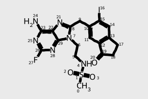 CS(=O)(=O)NCCn1c(Cc2cc3c(cc2I)CCC3=O)nc2c(N)nc(F)nc21